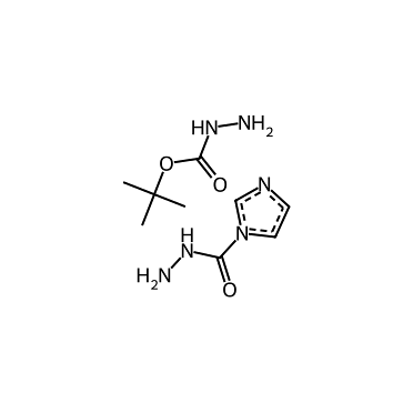 CC(C)(C)OC(=O)NN.NNC(=O)n1ccnc1